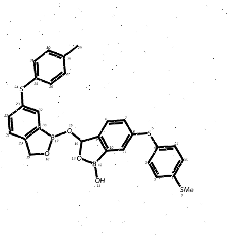 CSc1ccc(Sc2ccc3c(c2)B(O)OC3OB2OCc3ccc(Sc4ccc(C)cc4)cc32)cc1